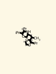 CC(C)C1=C(C(C)C)OCC(CC(C)C2=C(C(C)C)OCCO2)N1